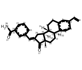 C=Cc1ccc2c(c1)CC[C@@H]1[C@@H]2CC[C@]2(C)C(=O)/C(=C/c3cccc(C(N)=O)c3)C[C@@H]12